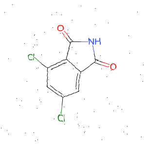 O=C1NC(=O)c2c(Cl)cc(Cl)cc21